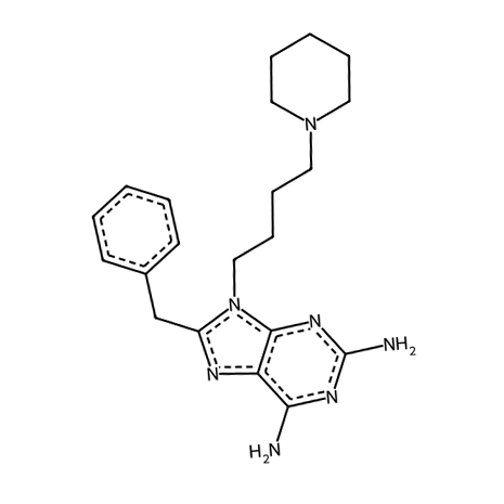 Nc1nc(N)c2nc(Cc3ccccc3)n(CCCCN3CCCCC3)c2n1